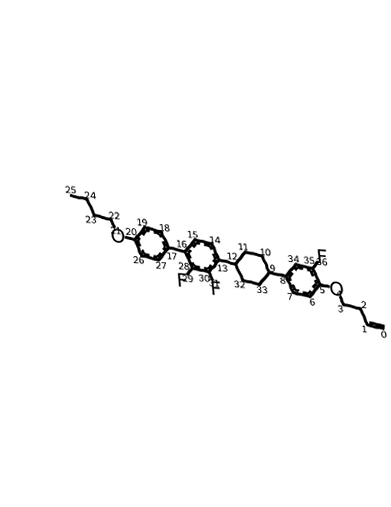 C=CCCOc1ccc(C2CCC(c3ccc(-c4ccc(OCCCC)cc4)c(F)c3F)CC2)cc1F